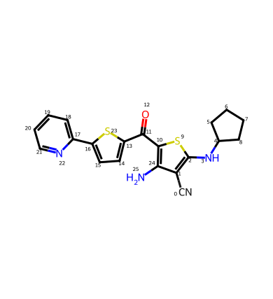 N#Cc1c(NC2CCCC2)sc(C(=O)c2ccc(-c3ccccn3)s2)c1N